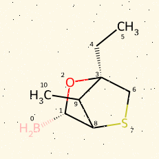 B[C@@H]1O[C@@]2(CC)CSC1C2C